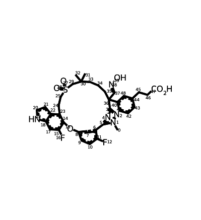 Cn1nc2nc1-c1cc(ccc1F)Oc1c(F)cc3[nH]ccc3c1CCS(=O)(=O)CC(C)(C)CCCC2(/C=N/O)c1cccc(CCC(=O)O)c1